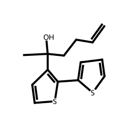 C=CCCC(C)(O)c1ccsc1-c1cccs1